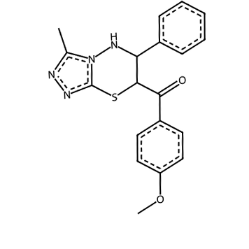 COc1ccc(C(=O)C2Sc3nnc(C)n3NC2c2ccccc2)cc1